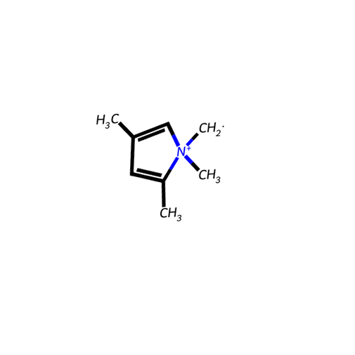 [CH2][N+]1(C)C=C(C)C=C1C